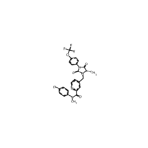 CC1C(=O)N(c2ccc(OC(F)(F)F)cc2)C(=O)N1Cc1ccnc(C(=O)N(C)c2ccc(Cl)cc2)c1